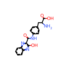 NC(Cc1ccc(NC(=O)c2nc3ccccc3nc2O)cc1)C(=O)O